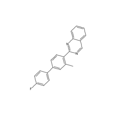 Cc1cc(-c2ccc(F)cc2)ccc1-c1ncc2ccccc2n1